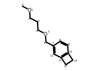 COCCCOCc1ccc2c(c1)CC2